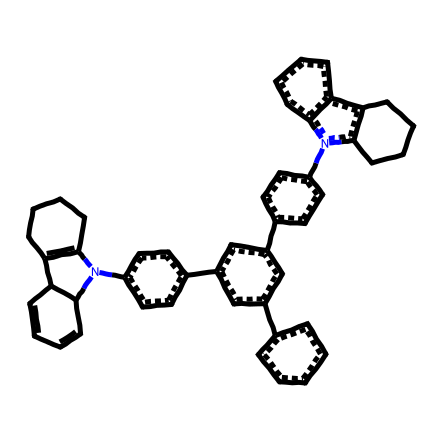 C1=CC2C3=C(CCCC3)N(c3ccc(-c4cc(-c5ccccc5)cc(-c5ccc(-n6c7c(c8ccccc86)CCCC7)cc5)c4)cc3)C2C=C1